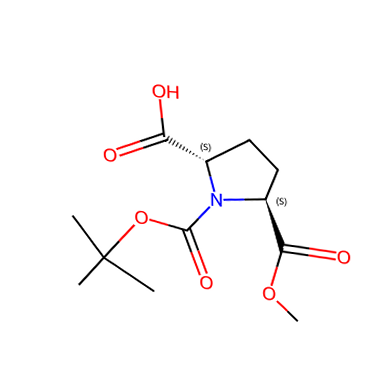 COC(=O)[C@@H]1CC[C@@H](C(=O)O)N1C(=O)OC(C)(C)C